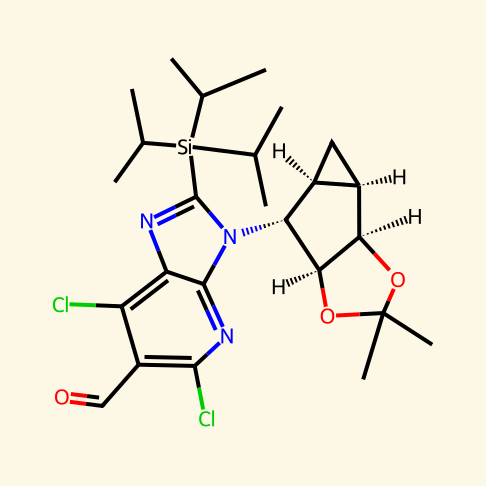 CC(C)[Si](c1nc2c(Cl)c(C=O)c(Cl)nc2n1[C@@H]1[C@H]2C[C@H]2[C@H]2OC(C)(C)O[C@H]21)(C(C)C)C(C)C